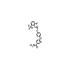 CN(CCc1ccc(Oc2ccc(C(N)=O)cn2)cc1)Cc1c(F)cccc1C(F)(F)F